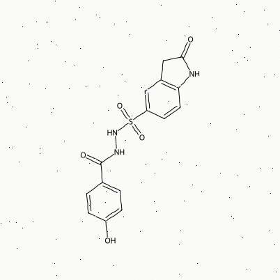 O=C1Cc2cc(S(=O)(=O)NNC(=O)c3ccc(O)cc3)ccc2N1